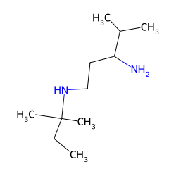 CCC(C)(C)NCCC(N)C(C)C